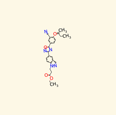 CCOC(=O)CCn1ncc2cc(-c3noc(-c4ccc(O[C@H](C)CC)c(C#N)c4)n3)ccc21